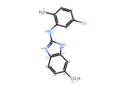 Cc1ccc(Cl)cc1Nc1nc2ccc(C(=O)O)cc2[nH]1